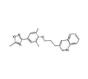 Cc1nc(-c2cc(C)c(OCCCc3cnc4ccccc4c3)c(C)c2)no1